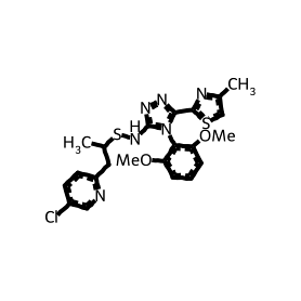 COc1cccc(OC)c1-n1c(NSC(C)Cc2ccc(Cl)cn2)nnc1-c1nc(C)cs1